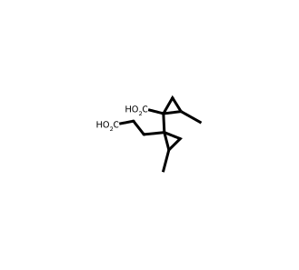 CC1CC1(CCC(=O)O)C1(C(=O)O)CC1C